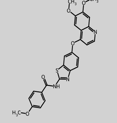 COc1ccc(C(=O)Nc2nc3ccc(Oc4ccnc5cc(OC)c(OC)cc45)cc3s2)cc1